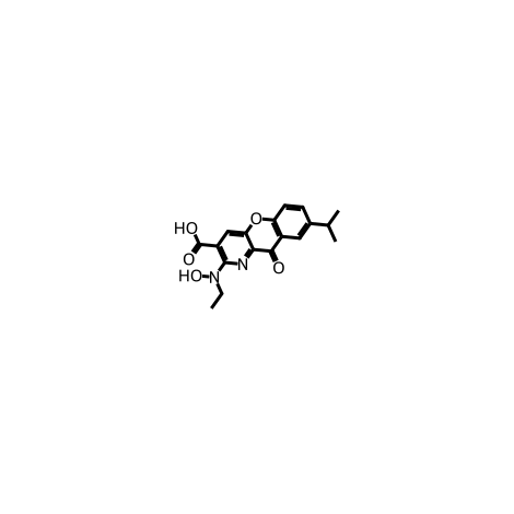 CCN(O)c1nc2c(=O)c3cc(C(C)C)ccc3oc2cc1C(=O)O